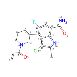 C=CC(=O)N1CCC=C(c2c(F)cc(C(N)=O)c3[nH]c(C)c(Cl)c23)C1